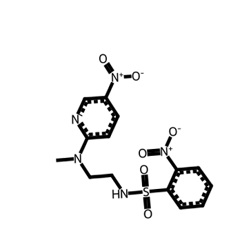 CN(CCNS(=O)(=O)c1ccccc1[N+](=O)[O-])c1ccc([N+](=O)[O-])cn1